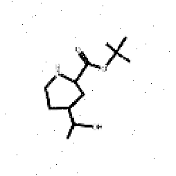 CC(O)C1CCNC(C(=O)OC(C)(C)C)C1